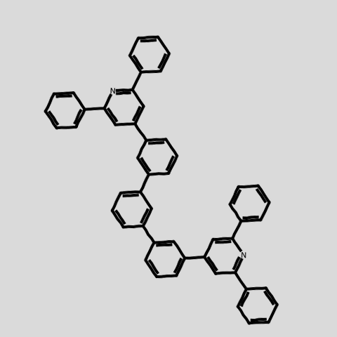 c1ccc(-c2cc(-c3cccc(-c4cccc(-c5cccc(-c6cc(-c7ccccc7)nc(-c7ccccc7)c6)c5)c4)c3)cc(-c3ccccc3)n2)cc1